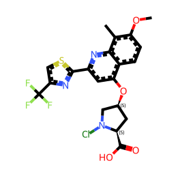 COc1ccc2c(O[C@H]3C[C@@H](C(=O)O)N(Cl)C3)cc(-c3nc(C(F)(F)F)cs3)nc2c1C